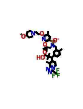 COC1CCN(CCOc2nc3c(cc2C)[S+]([O-])N(Cc2cc(C(c4ccn5c(C(F)(F)F)nnc5c4C)C(C)(C)C(=O)O)ccc2C)CC2(CC2)O3)CC1